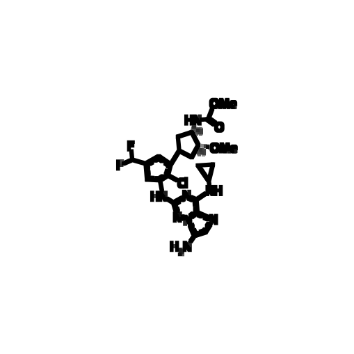 COC(=O)N[C@H]1CC(c2cc(C(F)F)cc(Nc3nc(NC4CC4)c4ncc(N)n4n3)c2Cl)C[C@H]1OC